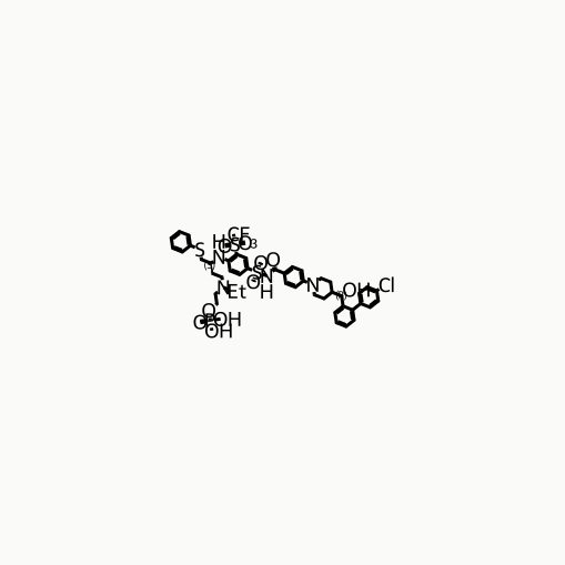 CCN(CCOP(=O)(O)O)CC[C@@H](CSc1ccccc1)Nc1ccc(S(=O)(=O)NC(=O)c2ccc(N3CCC([C@@H](O)c4ccccc4-c4ccc(Cl)cc4)CC3)cc2)cc1S(=O)(=O)C(F)(F)F